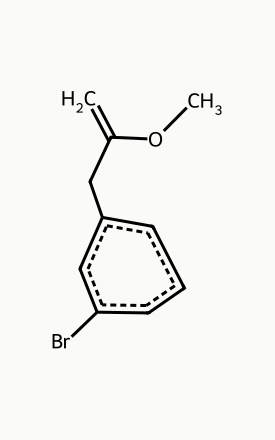 C=C(Cc1cccc(Br)c1)OC